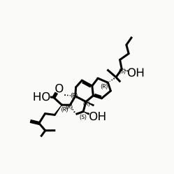 C=C(CC[C@@H](C(=O)O)[C@H]1C[C@H](O)[C@@]2(C)C3=CC[C@@H](C(C)(C)[C@@H](O)CCCC)CC3=CC[C@]12C)C(C)C